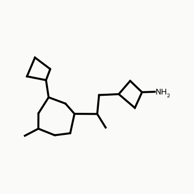 CC1CCC(C(C)CC2CC(N)C2)CC(C2CCC2)C1